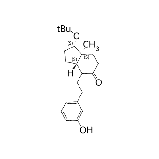 CC(C)(C)O[C@H]1CC[C@H]2C(CCc3cccc(O)c3)C(=O)CC[C@]12C